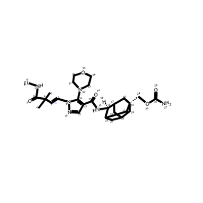 CCNC(=O)C(C)(C)/C=C/n1ncc(C(=O)N[C@H]2C3CC4CC2C[C@](COC(N)=O)(C4)C3)c1N1CCOCC1